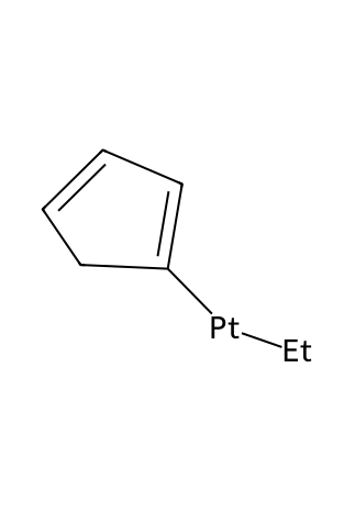 C[CH2][Pt][C]1=CC=CC1